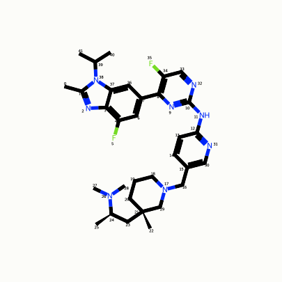 Cc1nc2c(F)cc(-c3nc(Nc4ccc(CN5CCC[C@@](C)(C[C@@H](C)N(C)C)C5)cn4)ncc3F)cc2n1C(C)C